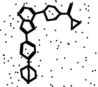 O=C(C1CC1)N1CCN(c2ccnn3cc(-c4ccc(C56CCN(CC5)CC6)cc4)cc23)CC1